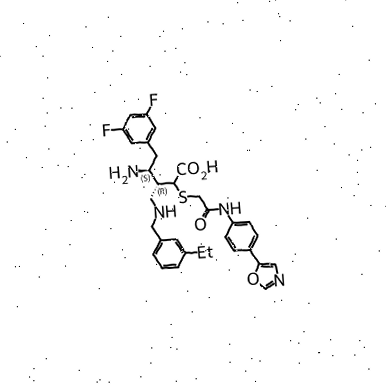 CCc1cccc(CNC[C@@H](C(SCC(=O)Nc2ccc(-c3cnco3)cc2)C(=O)O)[C@@H](N)Cc2cc(F)cc(F)c2)c1